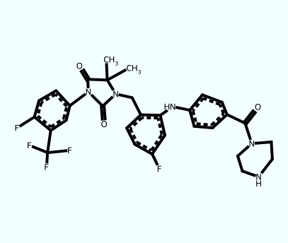 CC1(C)C(=O)N(c2ccc(F)c(C(F)(F)F)c2)C(=O)N1Cc1ccc(F)cc1Nc1ccc(C(=O)N2CCNCC2)cc1